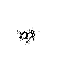 CC[C@H]1[C@@H](C)[C@@H]2c3cc(Br)cnc3N(CC)C(=O)[C@H]12